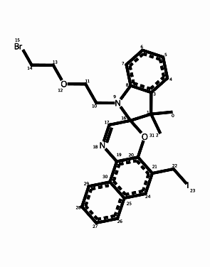 CC1(C)c2ccccc2N(CCOCCBr)C12C=Nc1c(c(CI)cc3ccccc13)O2